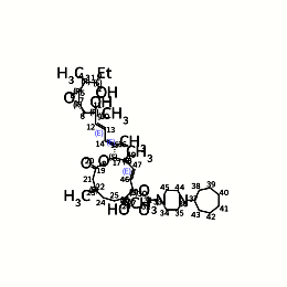 CC[C@H](O)[C@@H](C)[C@H]1O[C@@H]1C[C@@](C)(O)/C=C/C=C(\C)[C@H]1OC(=O)C[C@H](C)CC[C@@](C)(O)[C@@H](OC(=O)N2CCN(C3CCCCCC3)CC2)/C=C/[C@@H]1C